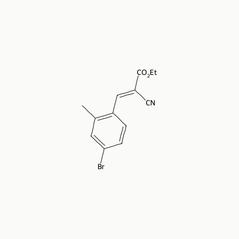 CCOC(=O)C(C#N)=Cc1ccc(Br)cc1C